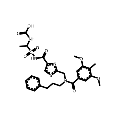 COc1cc(C(=O)N(CCCc2ccccc2)Cc2nc(C(=O)NS(=O)(=O)C(C)NC(=O)O)cs2)cc(OC)c1C